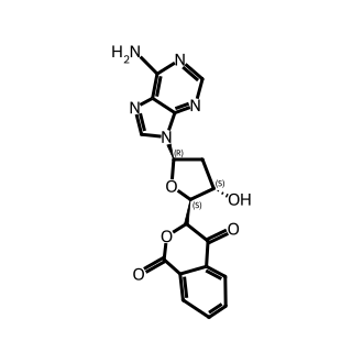 Nc1ncnc2c1ncn2[C@H]1C[C@H](O)[C@@H](C2OC(=O)c3ccccc3C2=O)O1